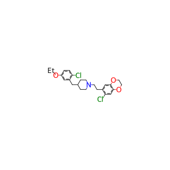 CCOc1ccc(Cl)c(CC2CCN(CCc3cc4c(cc3Cl)OCCO4)CC2)c1